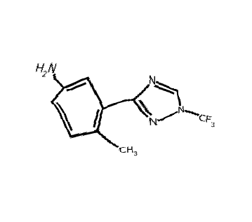 Cc1ccc(N)cc1-c1ncn(C(F)(F)F)n1